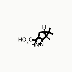 CC1(C)[C@H]2Cc3c(n[nH]c3C(=O)O)[C@]21C